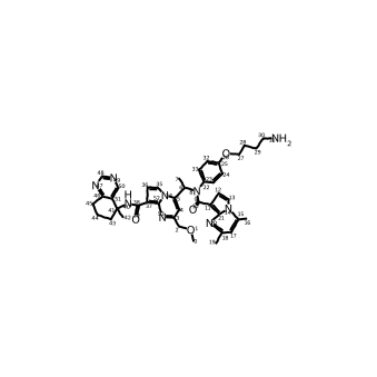 COCc1cc(C(C)N(C(=O)c2ccn3c(C)cc(C)nc23)c2ccc(OCCCCN)cc2)n2ccc(C(=O)NC3(C)CCCc4ncncc43)c2n1